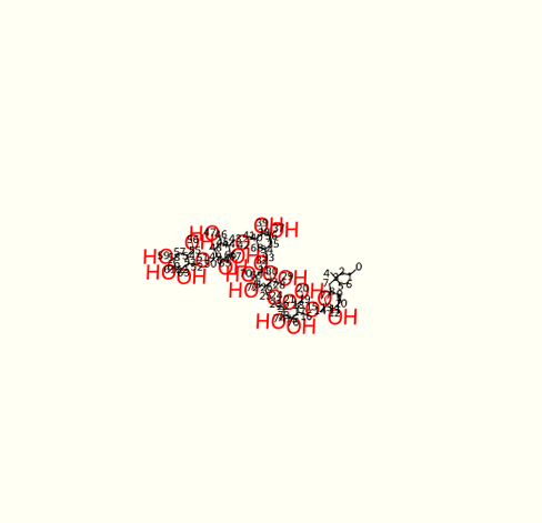 CCCC(C)(CC)CC1C#CC(O)C(COCC2C(CO)OC(COCC3C(CO)OC(OCC4C=C(O)C(O)C(COCC5C(CO)CC(COCC6C(CO)CC(O)C(O)C6O)C(O)C5O)C4)C(O)C3O)C(O)C2O)O1